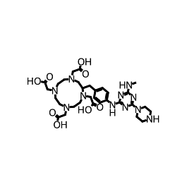 CNc1nc(Nc2ccc(CC3CN(CC(=O)O)CCN(CC(=O)O)CCN(CC(=O)O)CCN3CC(=O)O)cc2)nc(N2CCNCC2)n1